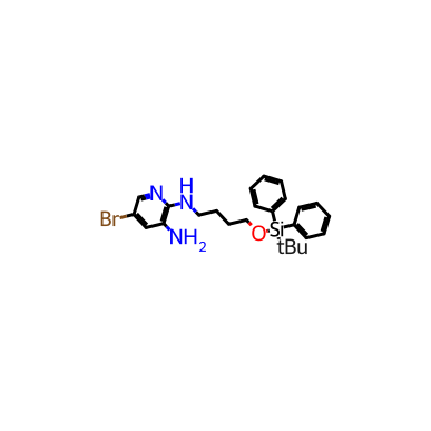 CC(C)(C)[Si](OCCCCNc1ncc(Br)cc1N)(c1ccccc1)c1ccccc1